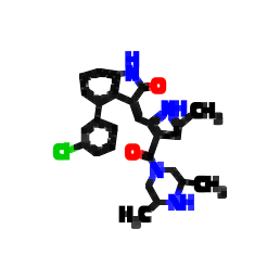 Cc1cc(C(=O)N2CC(C)NC(C)C2)c(C=C2C(=O)Nc3cccc(-c4cccc(Cl)c4)c32)[nH]1